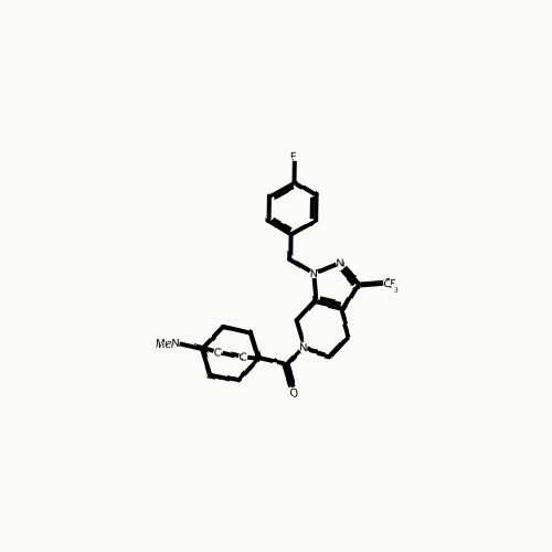 CNC12CCC(C(=O)N3CCc4c(C(F)(F)F)nn(Cc5ccc(F)cc5)c4C3)(CC1)CC2